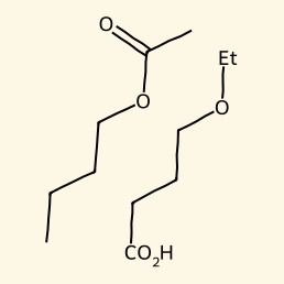 CCCCOC(C)=O.CCOCCCC(=O)O